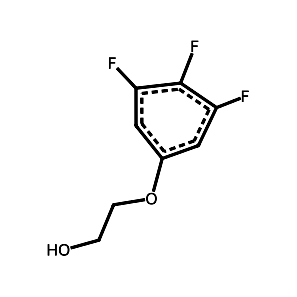 OCCOc1cc(F)c(F)c(F)c1